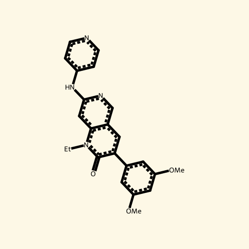 CCn1c(=O)c(-c2cc(OC)cc(OC)c2)cc2cnc(Nc3ccncc3)cc21